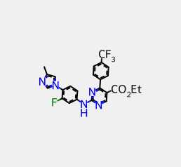 CCOC(=O)c1cnc(Nc2ccc(-n3cnc(C)c3)c(F)c2)nc1-c1ccc(C(F)(F)F)cc1